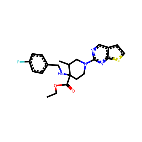 CCOC(=O)C1(NCc2ccc(F)cc2)CCN(c2ncc3ccsc3n2)CC1C